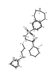 C[C@@H]1CCCCN1C(=O)[C@H](CCCNc1ncc[nH]1)NS(=O)(=O)c1ccc2c(c1)CCNCC2